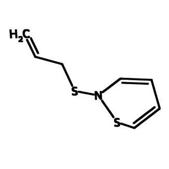 C=CCSN1C=CC=CS1